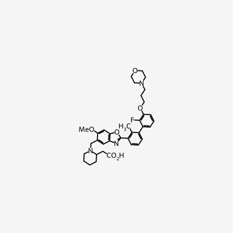 COc1cc2oc(-c3cccc(-c4cccc(OCCCN5CCOCC5)c4F)c3C)nc2cc1CN1CCCCC1CC(=O)O